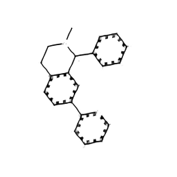 CN1CCc2ccc(-c3ccccn3)cc2C1c1ccccc1